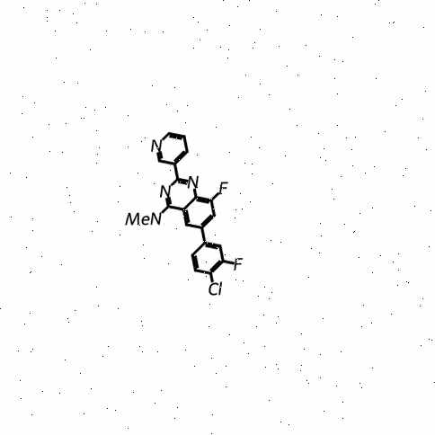 CNc1nc(-c2cccnc2)nc2c(F)cc(-c3ccc(Cl)c(F)c3)cc12